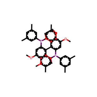 COc1cc(P(c2cc(C)cc(C)c2)c2cc(C)cc(C)c2)c(-c2c(P(c3cc(C)cc(C)c3)c3cc(C)cc(C)c3)cc(OC)c(OC)c2OC)c(OC)c1OC